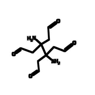 NC(CC=O)(CC=O)C(N)(CC=O)CC=O